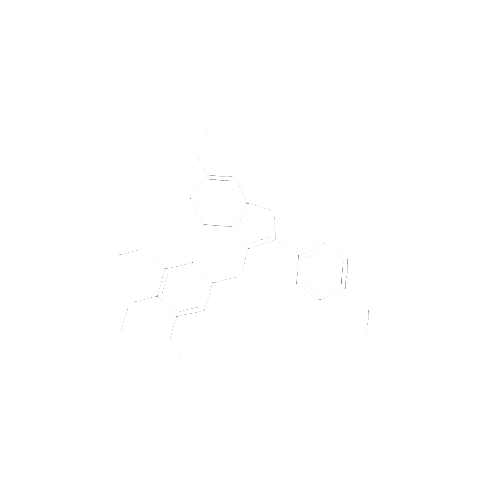 COc1ccc(-c2sc3cc(OC)ccc3c2Oc2cc(OC)c(OC)c(OC)c2)cc1